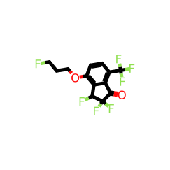 O=C1c2c(C(F)(F)F)ccc(OCCCF)c2C(F)C1(F)F